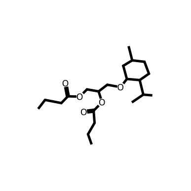 CCCC(=O)OCC(COC1CC(C)CCC1C(C)C)OC(=O)CCC